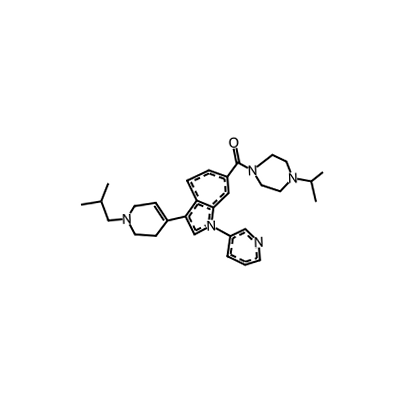 CC(C)CN1CC=C(c2cn(-c3cccnc3)c3cc(C(=O)N4CCN(C(C)C)CC4)ccc23)CC1